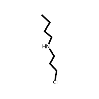 CCCCNCCCCl